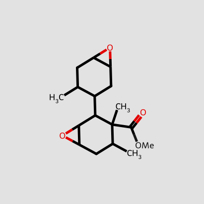 COC(=O)C1(C)C(C)CC2OC2C1C1CC2OC2CC1C